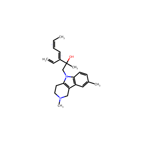 C=C/C(=C\C=C/C)C(C)(O)Cn1c2c(c3cc(C)ccc31)CN(C)CC2